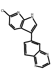 Clc1ccc2c(-c3ccc4nccnc4c3)c[nH]c2n1